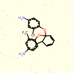 Nc1ccc(OC2(Oc3ccc(N)cc3C(F)(F)F)C=CC=CC2C(C(F)(F)F)C(F)(F)F)c(C(F)(F)F)c1